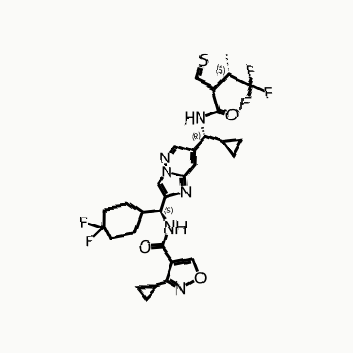 C[C@@H](C(C=S)C(=O)N[C@@H](c1cnn2cc([C@@H](NC(=O)c3conc3C3CC3)C3CCC(F)(F)CC3)nc2c1)C1CC1)C(F)(F)F